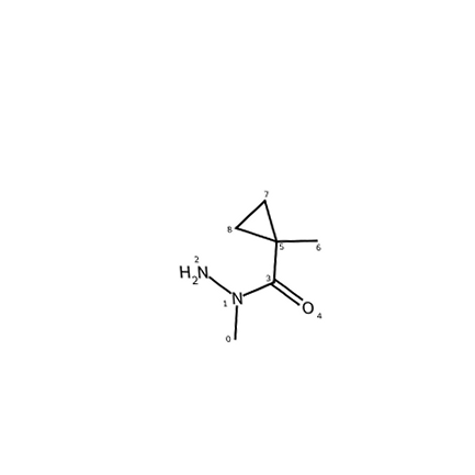 CN(N)C(=O)C1(C)CC1